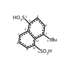 CC(C)(C)c1ccc(S(=O)(=O)O)c2cccc(S(=O)(=O)O)c12